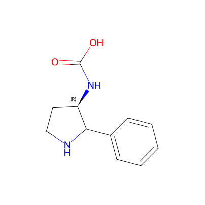 O=C(O)N[C@@H]1CCNC1c1ccccc1